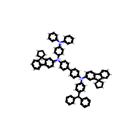 c1ccc(C(c2ccccc2)c2ccc(N(c3ccc(-c4ccc(N(c5ccc(N(c6ccccc6)c6ccccc6)cc5)c5ccc6c(c5)C5(CCCC5)c5ccccc5-6)cc4)cc3)c3ccc4c(c3)C3(CCCC3)c3ccccc3-4)cc2)cc1